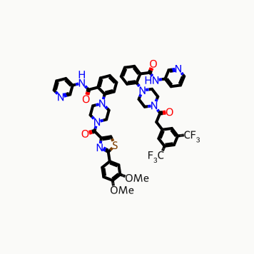 COc1ccc(-c2nc(C(=O)N3CCN(c4ccccc4C(=O)Nc4cccnc4)CC3)cs2)cc1OC.O=C(Nc1cccnc1)c1ccccc1N1CCN(C(=O)Cc2cc(C(F)(F)F)cc(C(F)(F)F)c2)CC1